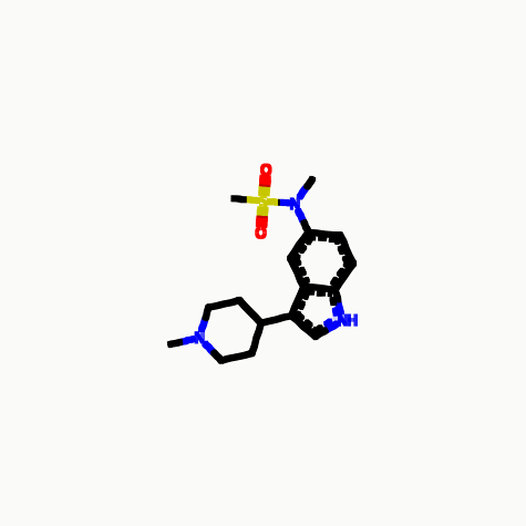 CN1CCC(c2c[nH]c3ccc(N(C)S(C)(=O)=O)cc23)CC1